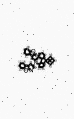 c1ccc2c(c1)-c1c(N(c3cnc4oc5ccccc5c4c3)c3cnc4oc5ccccc5c4c3)cccc1C21C2CC3CC4CC1C342